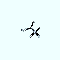 CC(=O)N(C)S(=O)(=O)I